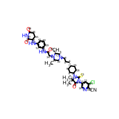 C[C@@H]1CN(CCC[C@H]2CC[C@H](N3C(=S)N(c4cnc(C#N)c(Cl)c4)C(=O)C3(C)C)CC2)C[C@H](C)N1CC(=O)Nc1cccc(NC2CCC(=O)NC2=O)c1